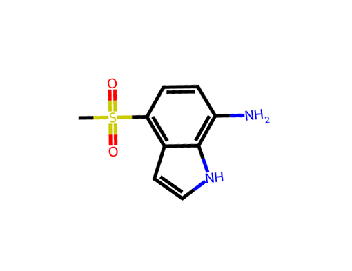 CS(=O)(=O)c1ccc(N)c2[nH]ccc12